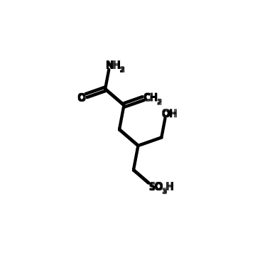 C=C(CC(CO)CS(=O)(=O)O)C(N)=O